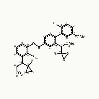 COc1ccc(F)c(-c2ccc(COc3cccc([C@H](CC(=O)O)C4(C)CC4)c3F)cc2[C@@H](OC)C2(C)CC2)c1